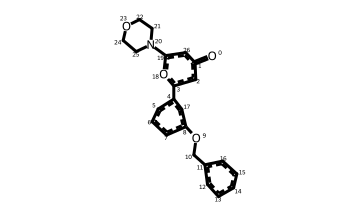 O=c1cc(-c2cccc(OCc3ccccc3)c2)oc(N2CCOCC2)c1